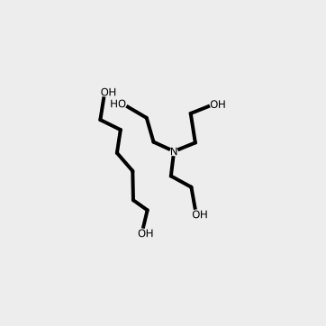 OCCCCCCO.OCCN(CCO)CCO